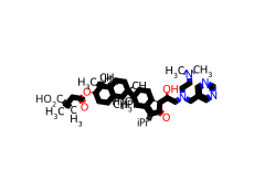 CCC[C@@H]1[C@@]2(C)CC[C@H](OC(=O)CC(C)(C)C(=O)O)C(C)(C)[C@@H]2CC[C@@]1(C)[C@]1(C)CCC2C(=C(C(C)C)C(=O)[C@H]2[C@@H](O)CN(CCN(C)C)Cc2cncnc2)C1